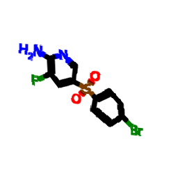 Nc1ncc(S(=O)(=O)c2ccc(Br)cc2)cc1F